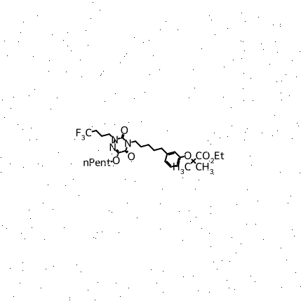 CCCCCOc1nn(CCCC(F)(F)F)c(=O)n(CCCCCc2cccc(OC(C)(C)C(=O)OCC)c2)c1=O